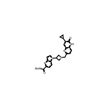 CNC(=O)c1ccc2c(ccn2C2CN(Cc3ccc4[nH]c(=O)c(C5CC5)cc4n3)C2)n1